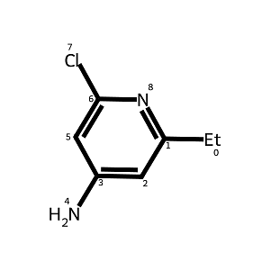 CCc1cc(N)cc(Cl)n1